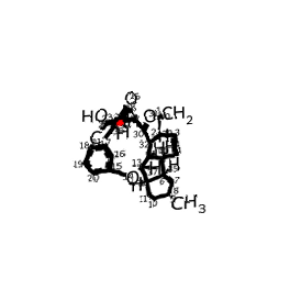 C=C[C@H]1C=C[C@H]2[C@@H]3C[C@H](C)CC[C@H]3[C@@H]3Oc4ccc(cc4)C[C@]4(O)NC(=O)[C@@]5(C[C@H]54)C(=O)[C@@H]1[C@H]23